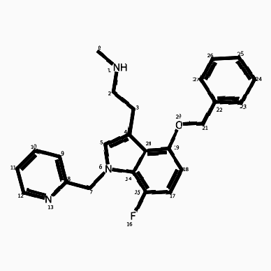 CNCCc1cn(Cc2ccccn2)c2c(F)ccc(OCc3ccccc3)c12